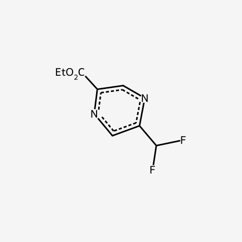 CCOC(=O)c1cnc(C(F)F)cn1